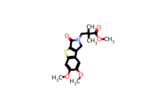 COC(=O)C(C)(C)CN1Cc2c(sc3cc(OC)c(OC)cc23)C1=O